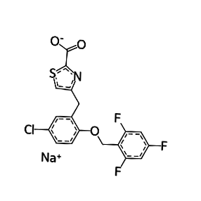 O=C([O-])c1nc(Cc2cc(Cl)ccc2OCc2c(F)cc(F)cc2F)cs1.[Na+]